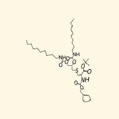 CCCCCCCCCCNC(=O)OCC(CSCC(NC(=O)OCc1ccccc1)C(=O)OC(C)(C)C)OC(=O)NCCCCCCCCCC